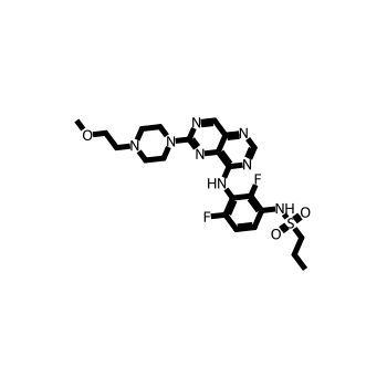 CCCS(=O)(=O)Nc1ccc(F)c(Nc2ncnc3cnc(N4CCN(CCOC)CC4)nc23)c1F